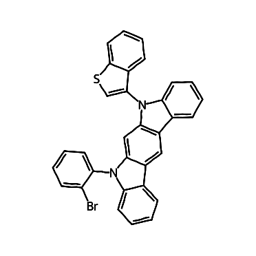 Brc1ccccc1-n1c2ccccc2c2cc3c4ccccc4n(-c4csc5ccccc45)c3cc21